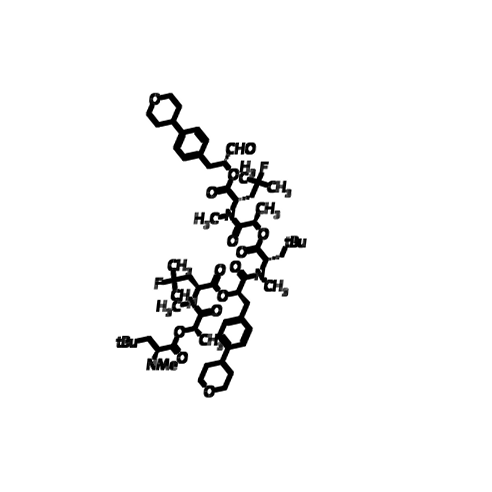 CN[C@@H](CC(C)(C)C)C(=O)O[C@H](C)C(=O)N(C)[C@@H](CC(C)(C)F)C(=O)O[C@H](Cc1ccc(C2CCOCC2)cc1)C(=O)N(C)[C@@H](CC(C)(C)C)C(=O)O[C@H](C)C(=O)N(C)[C@@H](CC(C)(C)F)C(=O)O[C@@H](C=O)Cc1ccc(C2CCOCC2)cc1